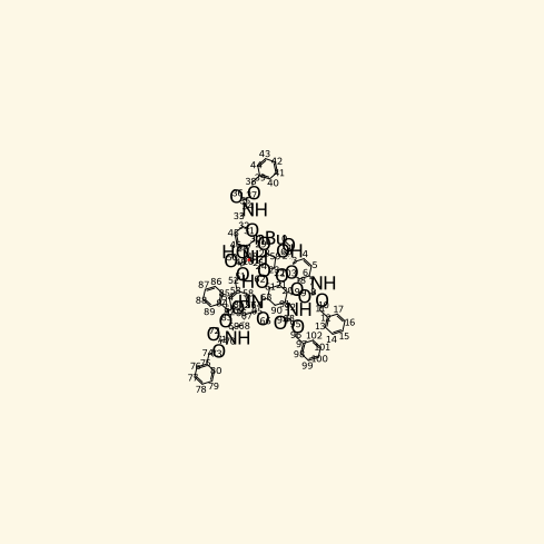 CCCCOC[C@@H]1C=C[C@@H](NC(=O)OCc2ccccc2)[C@@H](O[C@H]2[C@H](O[C@@H]3O[C@H](CO)[C@@H](O[C@H]4O[C@@H](CNC(=O)OCc5ccccc5)C=C[C@H]4NC(=O)OCc4ccccc4)[C@H]3O)[C@@H](O)[C@H](NC(=O)[C@H](CCNC(=O)OCc3ccccc3)OC(=O)c3ccccc3)C[C@@H]2NC(=O)OCc2ccccc2)O1